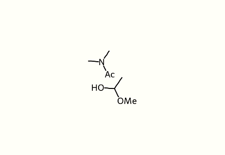 CC(=O)N(C)C.COC(C)O